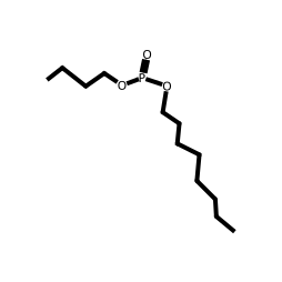 CCCCCCCCO[P](=O)OCCCC